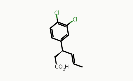 CC=C[C@@H](CC(=O)O)c1ccc(Cl)c(Cl)c1